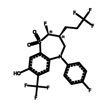 O=S1(=O)c2cc(O)c(C(F)(F)F)cc2N(c2ccc(F)cc2)C[C@H](CCC(F)(F)F)[C@@H]1F